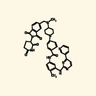 Cc1ccc(NC(=O)c2ccc(N3CCC(N(C)Cc4ccc5c(c4)C(=O)N(C4CCC(=O)NC4=O)C5=O)CC3)cc2)cc1Nc1nccc(-c2cccnc2)n1